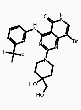 O=c1[nH]cc(Br)c2nc(N3CCC(O)(CO)CC3)nc(Nc3cccc(C(F)(F)F)c3)c12